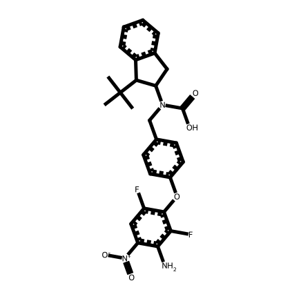 CC(C)(C)C1c2ccccc2CC1N(Cc1ccc(Oc2c(F)cc([N+](=O)[O-])c(N)c2F)cc1)C(=O)O